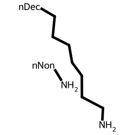 CCCCCCCCCCCCCCCCCN.CCCCCCCCCN